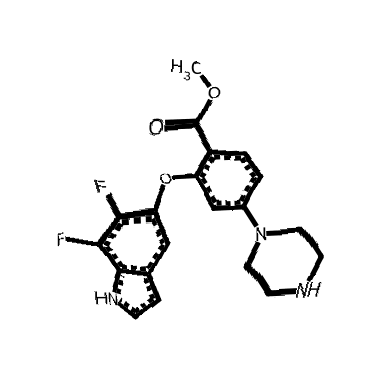 COC(=O)c1ccc(N2CCNCC2)cc1Oc1cc2cc[nH]c2c(F)c1F